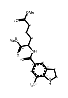 COC(=O)CCCC(NC(=O)c1cc(C)c2c(c1)CCN2)C(=O)OC